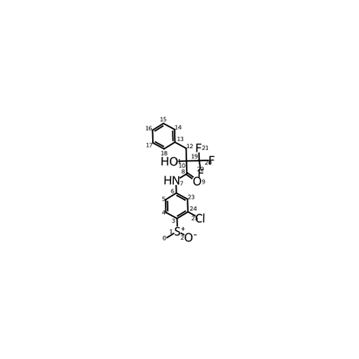 C[S+]([O-])c1ccc(NC(=O)C(O)(Cc2ccccc2)C(F)(F)F)cc1Cl